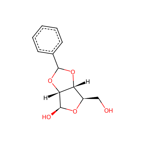 OC[C@H]1O[C@@H](O)[C@@H]2OC(c3ccccc3)O[C@@H]21